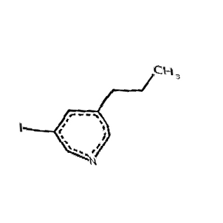 CCCc1cncc(I)c1